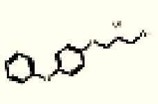 OC[C@@H](O)COc1ccc(Oc2ccccc2)cc1